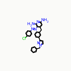 Nc1cc(Cc2cccc(-c3ccn(Cc4ccccc4)n3)c2)c(N=Nc2ccc(Cl)cc2)c(N)n1